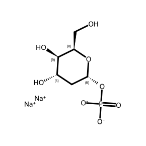 O=P([O-])([O-])O[C@@H]1C[C@H](O)[C@@H](O)[C@@H](CO)O1.[Na+].[Na+]